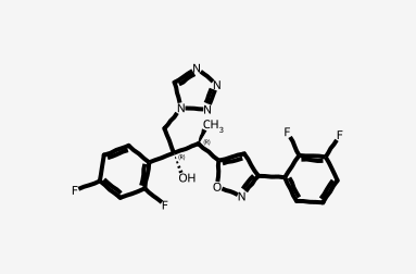 C[C@@H](c1cc(-c2cccc(F)c2F)no1)[C@](O)(Cn1cnnn1)c1ccc(F)cc1F